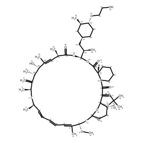 C=C1[C@H](C)C[C@H](C)/C=C/C=C/C=C(\C)[C@@H](OC)C[C@@H]2CC[C@@H](C)[C@@](OC(C)(C)C)(O2)C(=O)C(=O)N2CCCC[C@H]2C(=O)O[C@H]([C@H](C)C[C@@H]2CC[C@@H](OCCO)[C@H](C)C2)CC(=O)[C@H](C)/C=C(\C)[C@@H](O)[C@H]1C